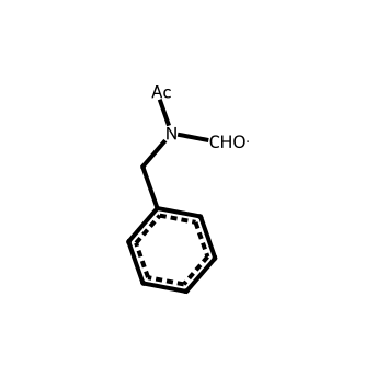 CC(=O)N([C]=O)Cc1ccccc1